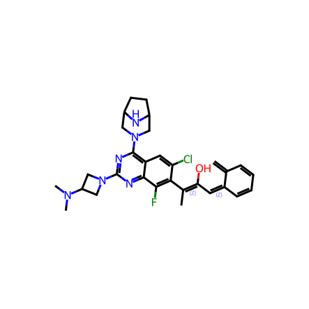 C=c1cccc/c1=C/C(O)=C(\C)c1c(Cl)cc2c(N3CC4CCC(C3)N4)nc(N3CC(N(C)C)C3)nc2c1F